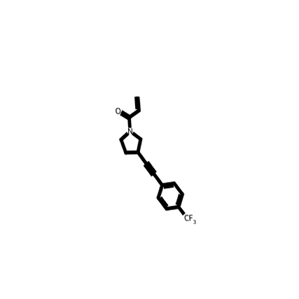 C=CC(=O)N1CCC(C#Cc2ccc(C(F)(F)F)cc2)C1